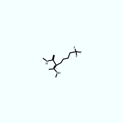 C=C(NC)/C(CCCCC(F)(F)F)=C(\C)NC